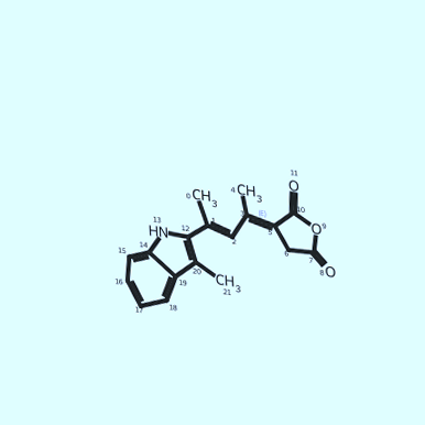 CC(=C/C(C)=C1\CC(=O)OC1=O)c1[nH]c2ccccc2c1C